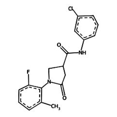 Cc1cccc(F)c1N1CC(C(=O)Nc2cccc(Cl)c2)CC1=O